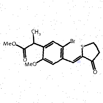 COC(=O)C(C)c1cc(Br)c(/C=C2\SCCC2=O)cc1OC